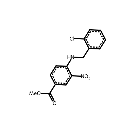 COC(=O)c1ccc(NCc2ccccc2Cl)c([N+](=O)[O-])c1